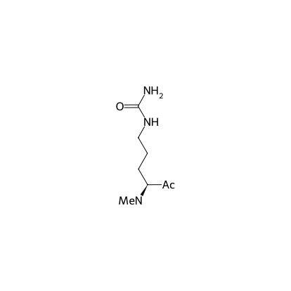 CN[C@@H](CCCNC(N)=O)C(C)=O